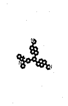 CC1(C)c2ccccc2-c2nc3ccccc3c(-c3ccc(-c4cc(C5=C6C=CC7=CC=C(c8cccnc8)C8=CC=C(C=C5)C6C78)cc(-c5ccc6ccc7c(-c8cccnc8)ccc8ccc5c6c87)c4)cc3)c21